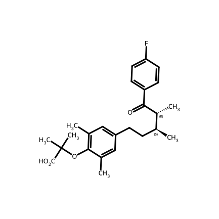 Cc1cc(CC[C@H](C)[C@@H](C)C(=O)c2ccc(F)cc2)cc(C)c1OC(C)(C)C(=O)O